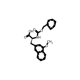 COc1cc(C[C@H](NC(=O)OCc2ccccc2)C(=O)O)cc2ccccc12